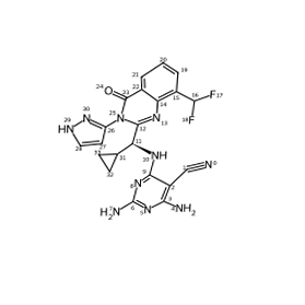 N#Cc1c(N)nc(N)nc1N[C@H](c1nc2c(C(F)F)cccc2c(=O)n1-c1cc[nH]n1)C1CC1